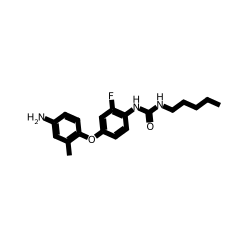 CCCCCNC(=O)Nc1ccc(Oc2ccc(N)cc2C)cc1F